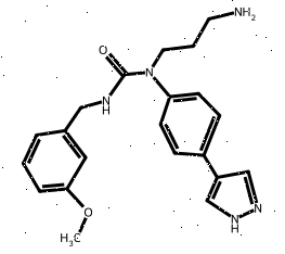 COc1cccc(CNC(=O)N(CCCN)c2ccc(-c3cn[nH]c3)cc2)c1